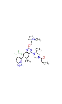 C=CC(=O)N1CCN(c2nc(OCC3CCCN3C)nc3c2CC(C)C(c2nc(N)ccc2C(F)(F)F)C3)C(C)C1